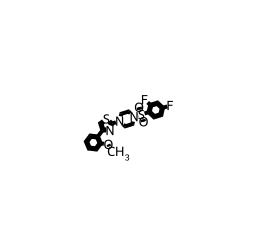 COc1ccccc1-c1csc(N2CCN(S(=O)(=O)c3ccc(F)cc3F)CC2)n1